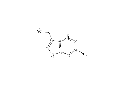 N#CCc1c[nH]c2cc(F)cnc12